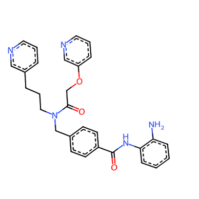 Nc1ccccc1NC(=O)c1ccc(CN(CCCc2cccnc2)C(=O)COc2cccnc2)cc1